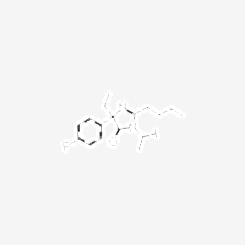 CCCCC1=NC(CC)(c2ccc(F)cc2)C(=O)N1C(C)I